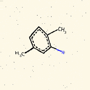 Cc1ccc(C)c([N])c1